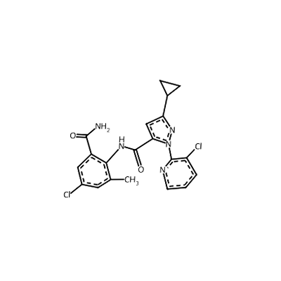 Cc1cc(Cl)cc(C(N)=O)c1NC(=O)c1cc(C2CC2)nn1-c1ncccc1Cl